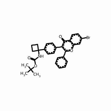 CC(C)(C)OC(=O)NC1(c2ccc(-c3c(-c4ccccc4)oc4cc(Br)ccc4c3=O)cc2)CCC1